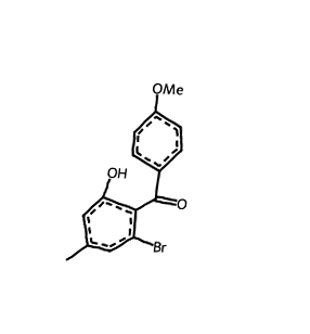 COc1ccc(C(=O)c2c(O)cc(C)cc2Br)cc1